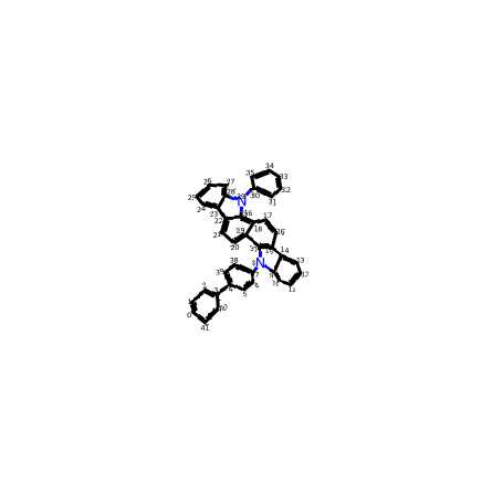 c1ccc(-c2ccc(-n3c4ccccc4c4ccc5c(ccc6c7ccccc7n(-c7ccccc7)c65)c43)cc2)cc1